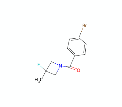 CC1(F)CN(C(=O)c2ccc(Br)cc2)C1